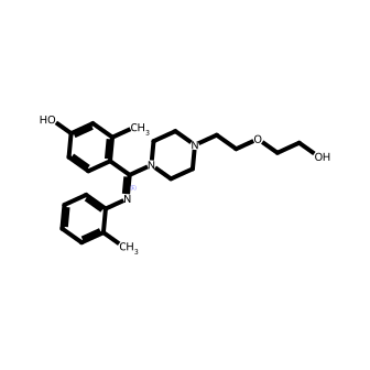 Cc1ccccc1/N=C(\c1ccc(O)cc1C)N1CCN(CCOCCO)CC1